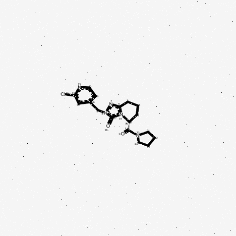 O=C([C@H]1CCCc2nn(Cc3ccnc(Cl)c3)c(=O)n21)N1CCCC1